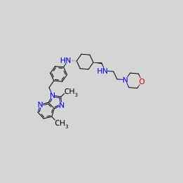 Cc1ccnc2c1nc(C)n2Cc1ccc(N[C@H]2CC[C@H](CNCCN3CCOCC3)CC2)cc1